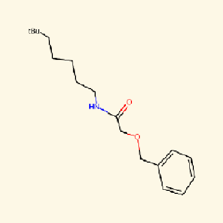 CC(C)(C)CCCCCNC(=O)COCc1ccccc1